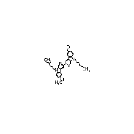 CCCCCCn1c2ccc(C=O)cc2c2cc(-c3cc4c5cc(OC)ccc5n(CCCCCC)c4cn3)ncc21